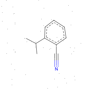 [CH2]C(C)c1ccccc1C#N